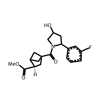 COC(=O)[C@@H]1CC2(C(=O)N3CC(O)CC3c3cccc(F)c3)CC1C2